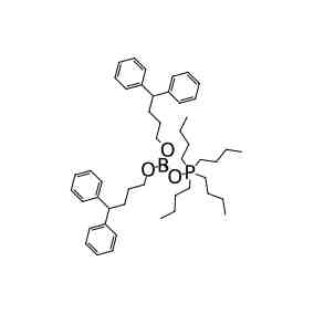 CCCCP(CCCC)(CCCC)(CCCC)OB(OCCCC(c1ccccc1)c1ccccc1)OCCCC(c1ccccc1)c1ccccc1